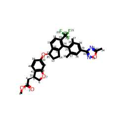 COC(=O)C[C@@H]1COc2cc(O[C@@H]3CCc4c3ccc(C(F)(F)F)c4-c3c(C)cc(-c4noc(C)n4)cc3C)ccc21